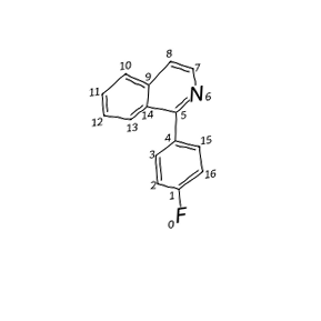 Fc1ccc(-c2nccc3ccccc23)cc1